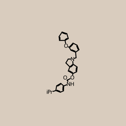 CC(C)c1ccc(NC(=O)Oc2ccc3c(c2)CCN3Cc2cccc(Oc3ccccc3)c2)cc1